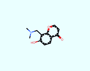 CN(C)Cc1c(O)ccc2c(=O)ccoc12